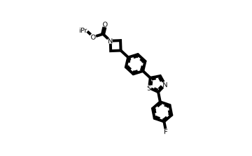 CC(C)OC(=O)N1CC(c2ccc(-c3cnc(-c4ccc(F)cc4)s3)cc2)C1